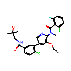 CN(C(=O)c1c(F)cccc1Cl)c1ncc(-c2cc(C(=O)NCC(C)(C)O)ccc2Cl)cc1OCC(F)(F)F